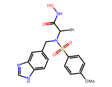 COc1ccc(S(=O)(=O)N(Cc2ccc3[nH]cnc3c2)C(C(=O)NO)C(C)C)cc1